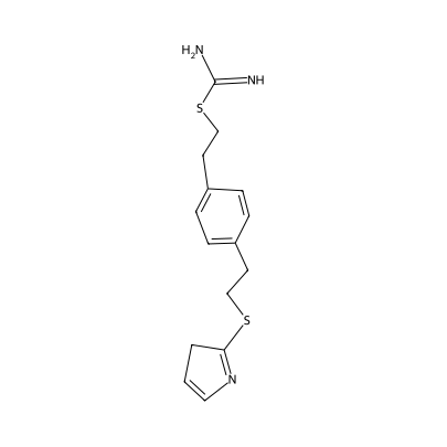 N=C(N)SCCc1ccc(CCSC2=NC=CC2)cc1